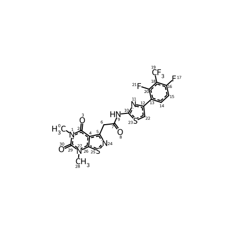 Cn1c(=O)c2c(CC(=O)Nc3nc(-c4ccc(F)c(C(F)(F)F)c4F)cs3)nsc2n(C)c1=O